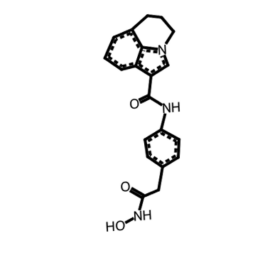 O=C(Cc1ccc(NC(=O)c2cn3c4c(cccc24)CCC3)cc1)NO